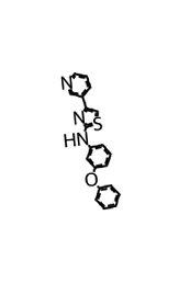 c1ccc(Oc2cccc(Nc3nc(-c4cccnc4)cs3)c2)cc1